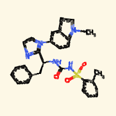 Cc1ccccc1S(=O)(=O)NC(=O)N[C@@H](Cc1ccccc1)c1nccn1-c1ccc2c(ccn2C)c1